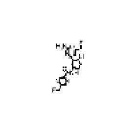 C[C@@]1(c2cc(NC(=O)c3cnc(C(F)F)cn3)ccc2Cl)C=C(CF)OC(N)=N1